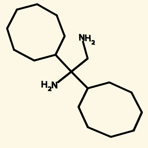 NCC(N)(C1CCCCCCC1)C1CCCCCCC1